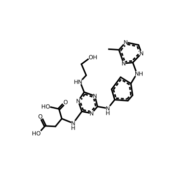 Cc1ncnc(Nc2ccc(Nc3nc(NCCO)nc(NC(CC(=O)O)C(=O)O)n3)cc2)n1